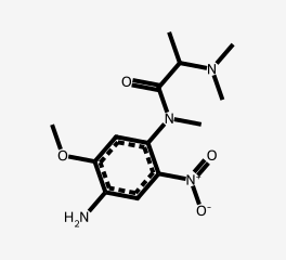 COc1cc(N(C)C(=O)C(C)N(C)C)c([N+](=O)[O-])cc1N